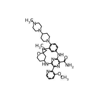 CCc1cc(Nc2nc(NC3CCOC4(CC4)C3)c(-c3ncccc3OC)nc2C(N)=O)ccc1N1CCC(N2CCN(C)CC2)CC1